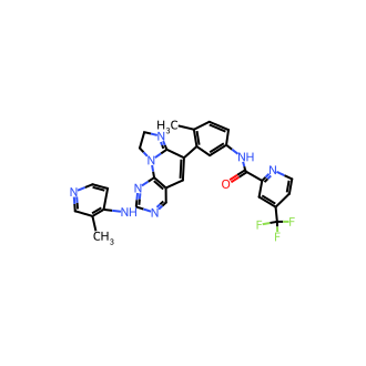 Cc1cnccc1Nc1ncc2c(n1)N1CCN=C1C(c1cc(NC(=O)c3cc(C(F)(F)F)ccn3)ccc1C)=C2